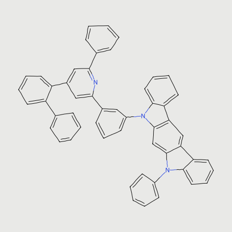 c1ccc(-c2cc(-c3ccccc3-c3ccccc3)cc(-c3cccc(-n4c5ccccc5c5cc6c7ccccc7n(-c7ccccc7)c6cc54)c3)n2)cc1